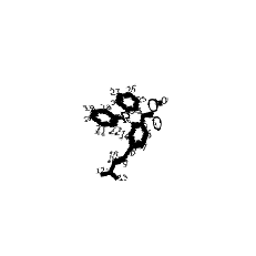 COC(=O)Cc1ccc(CCC(C)C)cc1P(c1ccccc1)c1ccccc1